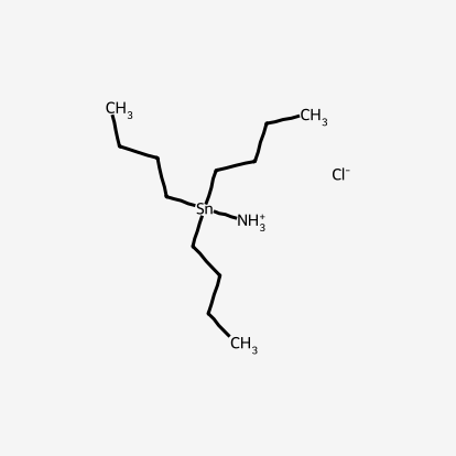 CCC[CH2][Sn]([NH3+])([CH2]CCC)[CH2]CCC.[Cl-]